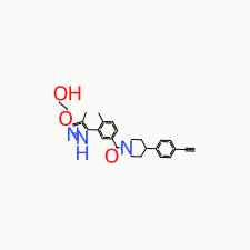 C#Cc1ccc(C2CCN(C(=O)c3ccc(C)c(-c4[nH]nc(OCCO)c4C)c3)CC2)cc1